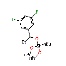 CCCC[Si](OCCC)(OCCC)OC(CC)c1cc(F)cc(F)c1